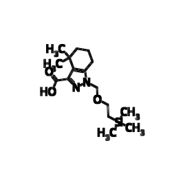 CC1(C)CCCc2c1c(C(=O)O)nn2COCC[Si](C)(C)C